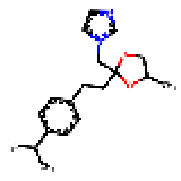 CC1COC(CCc2ccc(C(C)C)cc2)(Cn2ccnc2)O1